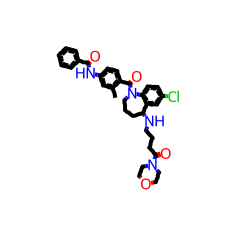 Cc1cc(NC(=O)c2ccccc2)ccc1C(=O)N1CCCC(NCCCC(=O)N2CCOCC2)c2cc(Cl)ccc21